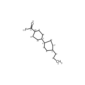 CCCC1CCC(C2CCC(C(=O)F)CC2)CC1